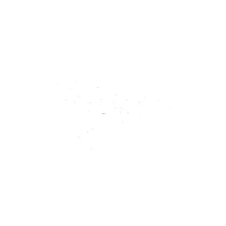 CCC(CC)CNC[C@H]1Cc2c(cc(OCc3ccccc3)c(N(CC(=O)OC(C)(C)C)C(=O)C(F)(F)F)c2F)N1C(=O)O